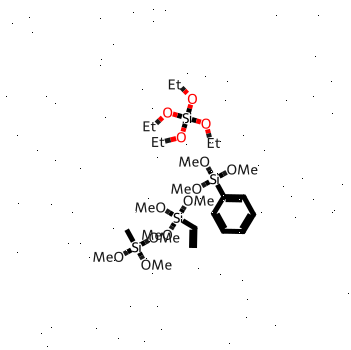 C=C[Si](OC)(OC)OC.CCO[Si](OCC)(OCC)OCC.CO[Si](C)(OC)OC.CO[Si](OC)(OC)c1ccccc1